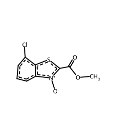 COC(=O)c1sc2c(Cl)cccc2[n+]1[O-]